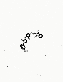 O=C1c2ccccc2C(=O)N1CCOc1ccc(CC2CCN(C3C4CC5CC3CC(O)(C5)C4)C2=O)c(Cl)c1